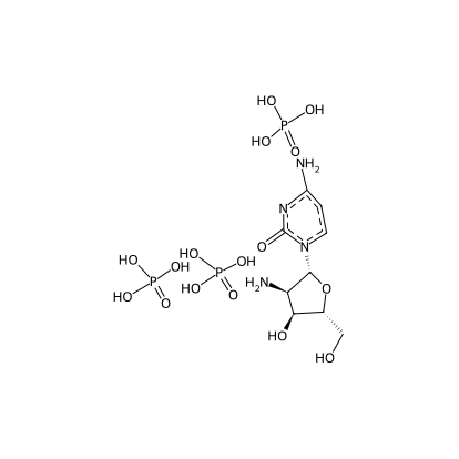 Nc1ccn([C@@H]2O[C@H](CO)[C@@H](O)[C@H]2N)c(=O)n1.O=P(O)(O)O.O=P(O)(O)O.O=P(O)(O)O